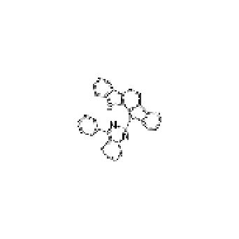 c1ccc(-c2nc(-n3c4ccccc4c4ccc5c6ccccc6sc5c43)nc3ccccc23)cc1